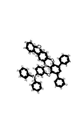 c1ccc(-c2cc(-c3ccccc3)c3c4c2Oc2cc(N(c5ccccc5)c5ccccc5)ccc2B4c2cc4c(cc2O3)oc2ccccc24)cc1